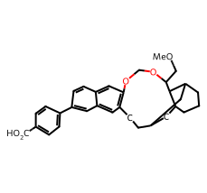 COCC1OCOc2cc3ccc(-c4ccc(C(=O)O)cc4)cc3cc2CCC2CC3CCCC(C2)C31